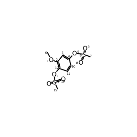 COc1cc(OS(C)(=O)=O)ccc1OS(C)(=O)=O